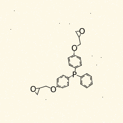 c1ccc(P(c2ccc(OCC3CO3)cc2)c2ccc(OCC3CO3)cc2)cc1